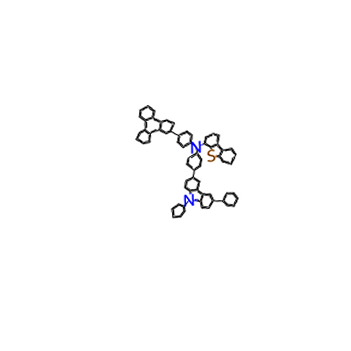 c1ccc(-c2ccc3c(c2)c2cc(-c4ccc(N(c5ccc(-c6ccc7c8ccccc8c8ccccc8c7c6)cc5)c5cccc6c5sc5ccccc56)cc4)ccc2n3-c2ccccc2)cc1